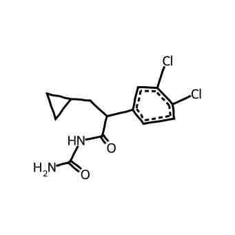 NC(=O)NC(=O)C(CC1CC1)c1ccc(Cl)c(Cl)c1